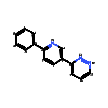 c1ccc(-c2ccc(-c3cccnn3)cn2)cc1